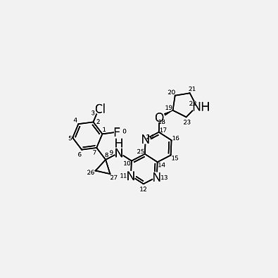 Fc1c(Cl)cccc1C1(Nc2ncnc3ccc(O[C@H]4CCNC4)nc23)CC1